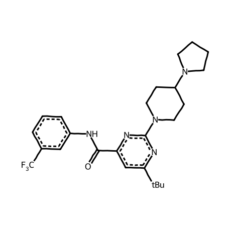 CC(C)(C)c1cc(C(=O)Nc2cccc(C(F)(F)F)c2)nc(N2CCC(N3CCCC3)CC2)n1